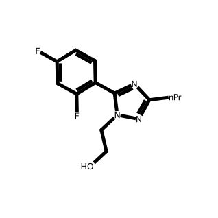 CCCc1nc(-c2ccc(F)cc2F)n(CCO)n1